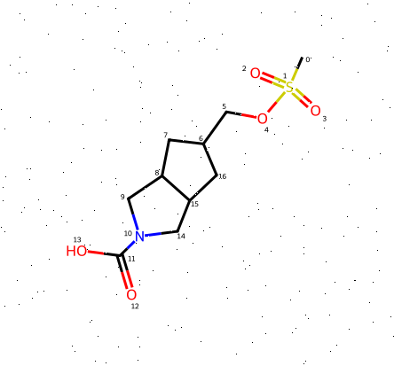 CS(=O)(=O)OCC1CC2CN(C(=O)O)CC2C1